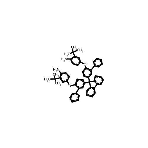 CC(C)(C)c1cc(Oc2ccc(C3(c4ccc(Oc5ccc(N)c(C(C)(C)C)c5)c(-c5ccccc5)c4)c4ccccc4-c4ccccc43)cc2-c2ccccc2)ccc1N